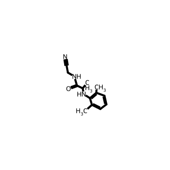 Cc1cccc(C)c1NC(C)C(=O)NCC#N